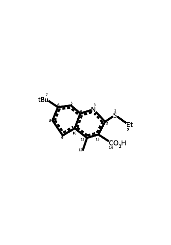 CCSc1nc2cc(C(C)(C)C)ccc2c(C)c1C(=O)O